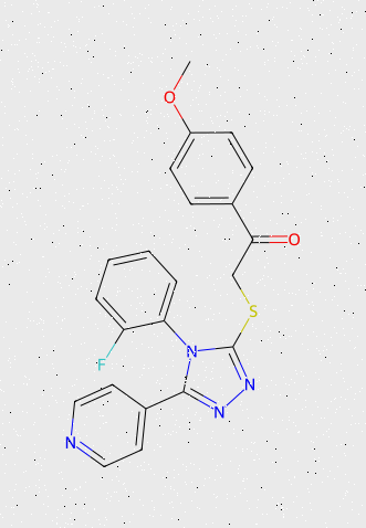 COc1ccc(C(=O)CSc2nnc(-c3ccncc3)n2-c2ccccc2F)cc1